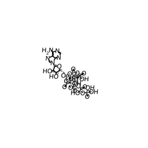 Nc1ncnc2c1ncn2[C@@H]1O[C@H](COP(=O)(OP(=O)(O)OP(=O)(O)O)OP(=O)(O)OP(=O)(O)OP(=O)(O)OP(=O)(O)O)[C@@H](O)[C@H]1O